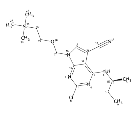 CC[C@H](C)Nc1nc(Cl)nc2c1c(C#N)cn2COCC[Si](C)(C)C